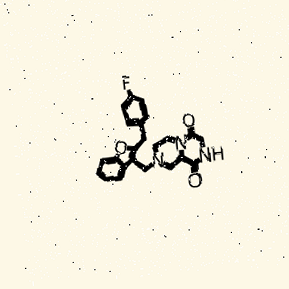 O=C1NCC(=O)N2CCN(Cc3c(Cc4ccc(F)cc4)oc4ccccc34)CC12